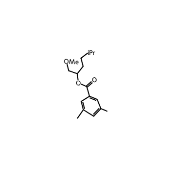 COCC(CCC(C)C)OC(=O)c1cc(C)cc(C)c1